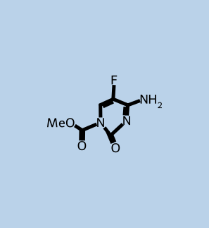 COC(=O)n1cc(F)c(N)nc1=O